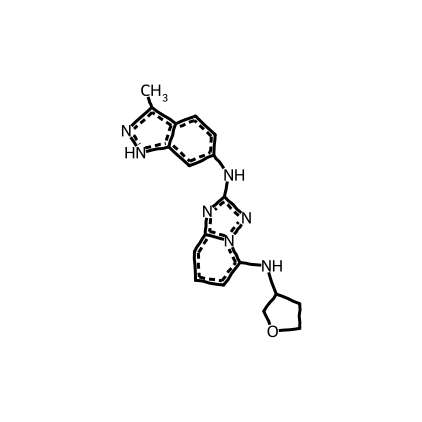 Cc1n[nH]c2cc(Nc3nc4cccc(NC5CCOC5)n4n3)ccc12